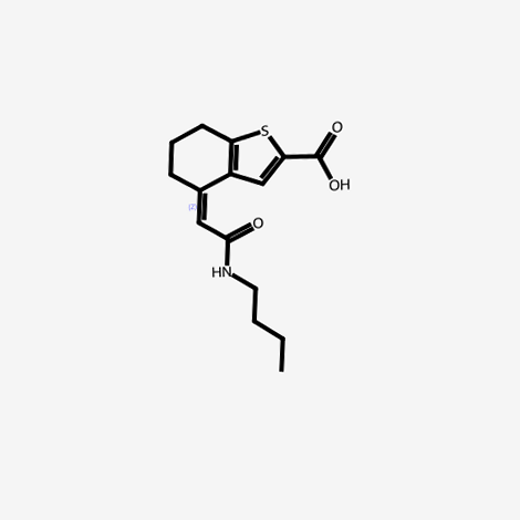 CCCCNC(=O)/C=C1/CCCc2sc(C(=O)O)cc21